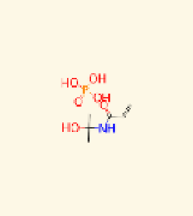 C=CC(=O)NC(C)(C)O.O=P(O)(O)O